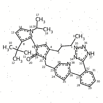 CCCCc1cn(-c2c(C(C)(C)C)ccn2C(C)C)c(=O)n1Cc1ccc(-c2ccccc2-c2nnn[nH]2)nc1